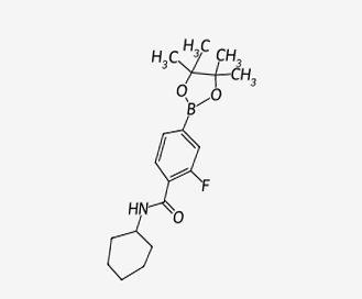 CC1(C)OB(c2ccc(C(=O)NC3CCCCC3)c(F)c2)OC1(C)C